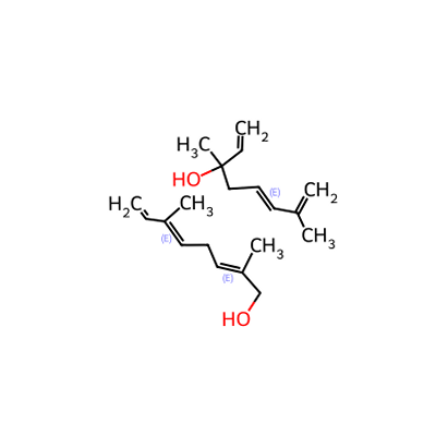 C=C/C(C)=C/C/C=C(\C)CO.C=CC(C)(O)C/C=C/C(=C)C